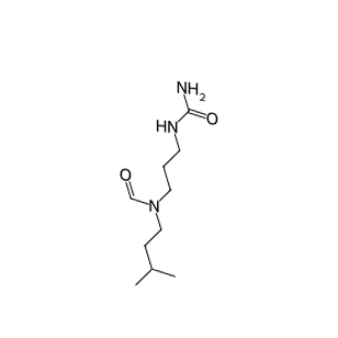 CC(C)CCN(C=O)CCCNC(N)=O